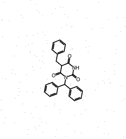 O=C1NC(=O)N(C(c2ccccc2)c2ccccc2)C(=O)C1Cc1ccccc1